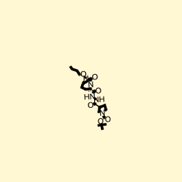 CCCCON1C(=O)N2CC1CC[C@H]2C(=O)NNC(=O)[C@H]1CCN(C(=O)OC(C)(C)C)C1